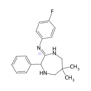 CC1(C)CN/C(=N\c2ccc(F)cc2)C(c2ccccc2)NC1